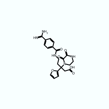 N=C(N)c1ccc(C(=O)NCCC(CC(=O)O)(c2ccco2)N2CCNC(=O)C2=O)cc1